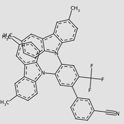 Cc1ccc2c(c1)c1cc(C)ccc1n2-c1cc(-c2cccc(C#N)c2)c(C(F)(F)F)cc1-n1c2ccc(C)cc2c2cc(C)ccc21